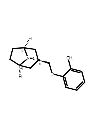 Cc1ccccc1OC[C@H]1C[C@H]2CC[C@@H](C1)N2C